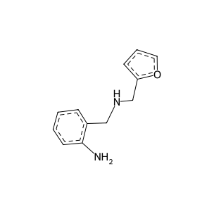 Nc1ccccc1CNCc1ccco1